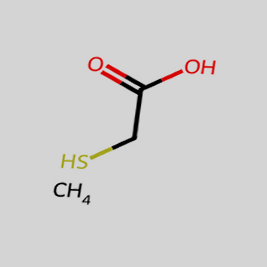 C.O=C(O)CS